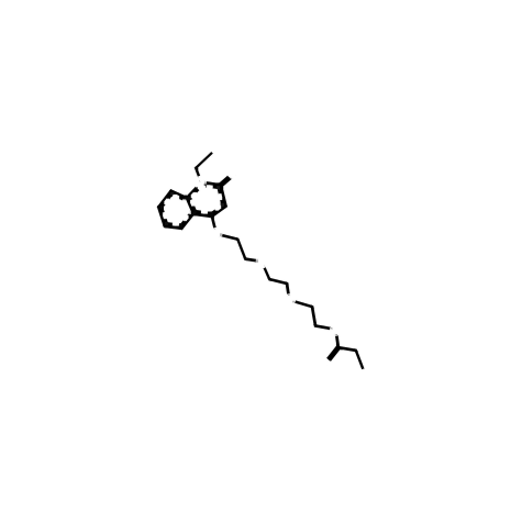 CCC(=O)OCCOCCOCCOc1cc(=S)n(CC)c2ccccc12